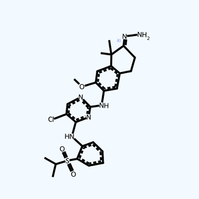 COc1cc2c(cc1Nc1ncc(Cl)c(Nc3ccccc3S(=O)(=O)C(C)C)n1)CC/C(=N\N)C2(C)C